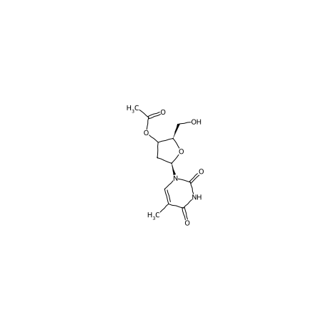 CC(=O)OC1C[C@H](n2cc(C)c(=O)[nH]c2=O)O[C@@H]1CO